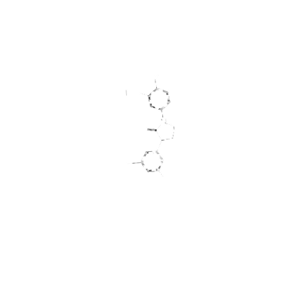 O=C1C(c2cc(F)cc(F)c2)CCN1c1ccc(Br)c(C(F)(F)F)c1